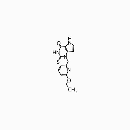 CCOc1cccc(Cn2c(=S)[nH]c(=O)c3[nH]ccc32)n1